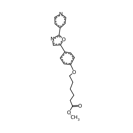 COC(=O)CCCCCOc1ccc(-c2cnc(-c3ccncc3)o2)cc1